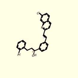 CC(=O)c1ccccc1CC[C@H](O)c1cccc(/C=C/c2ccc3ccc(Cl)cc3n2)c1